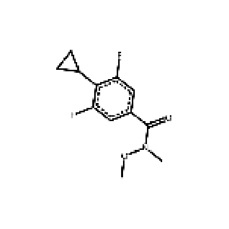 CON(C)C(=O)c1cc(F)c(C2CC2)c(F)c1